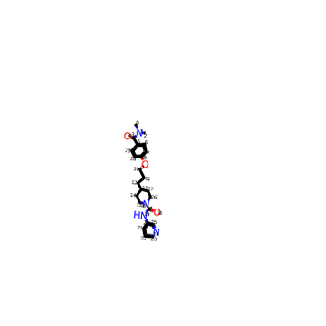 CN(C)C(=O)c1ccc(OCCCC2CCN(C(=O)Nc3cccnc3)CC2)cc1